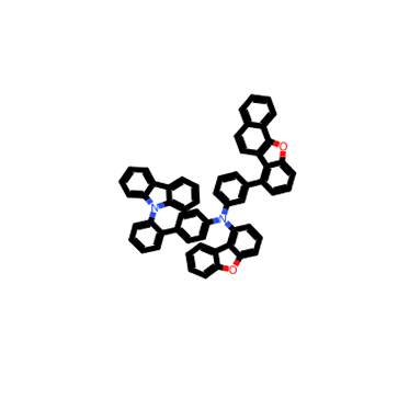 c1cc(-c2cccc3oc4c5ccccc5ccc4c23)cc(N(c2ccc(-c3ccccc3-n3c4ccccc4c4ccccc43)cc2)c2cccc3oc4ccccc4c23)c1